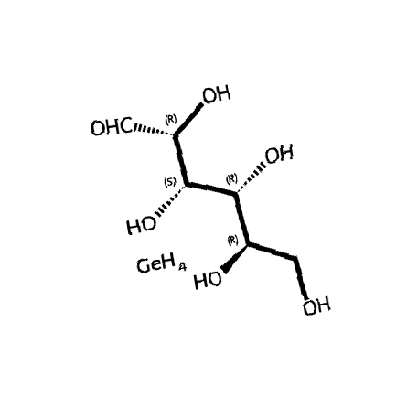 O=C[C@H](O)[C@@H](O)[C@H](O)[C@H](O)CO.[GeH4]